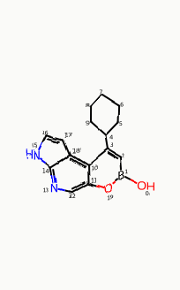 OB1C=C(C2CCCCC2)c2c(cnc3[nH]ccc23)O1